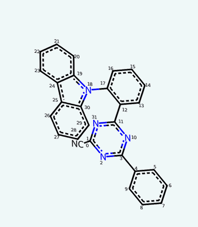 N#Cc1nc(-c2ccccc2)nc(-c2ccccc2-n2c3ccccc3c3ccccc32)n1